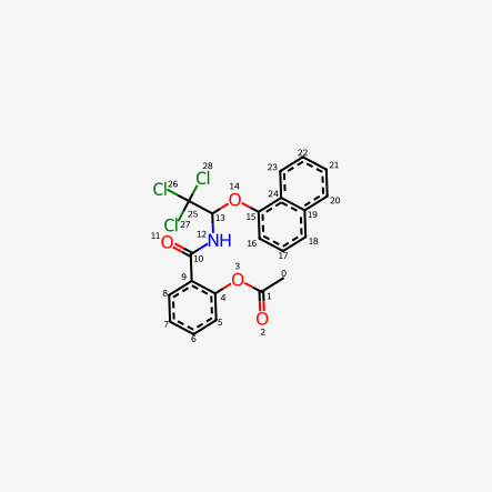 CC(=O)Oc1ccccc1C(=O)NC(Oc1cccc2ccccc12)C(Cl)(Cl)Cl